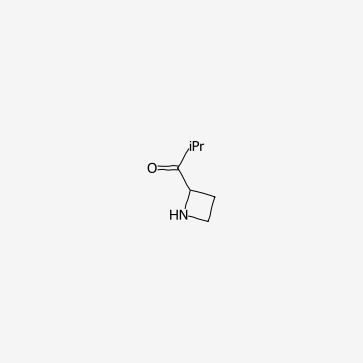 CC(C)C(=O)C1CCN1